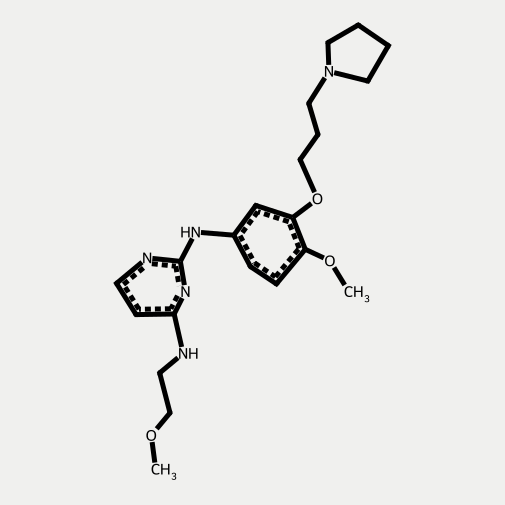 COCCNc1ccnc(Nc2ccc(OC)c(OCCCN3CCCC3)c2)n1